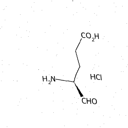 Cl.N[C@H](C=O)CCC(=O)O